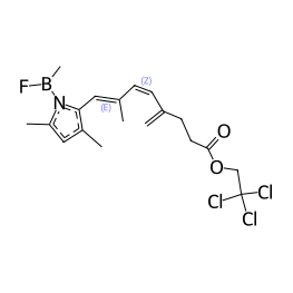 C=C(/C=C\C(C)=C\c1c(C)cc(C)n1B(C)F)CCC(=O)OCC(Cl)(Cl)Cl